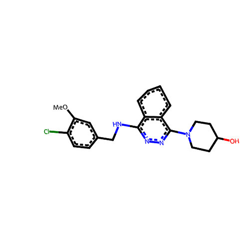 COc1cc(CNc2nnc(N3CCC(O)CC3)c3ccccc23)ccc1Cl